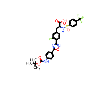 CC(C)(C)OC(=O)Nc1ccc(-c2nc(-c3ccc(CC(NS(=O)(=O)c4ccc(C(F)(F)F)cc4)C(=O)O)cc3F)no2)cc1